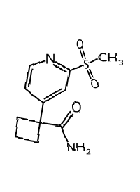 CS(=O)(=O)c1cc(C2(C(N)=O)CCC2)ccn1